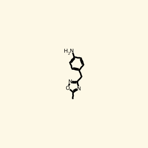 Cc1nc(Cc2ccc(N)cc2)no1